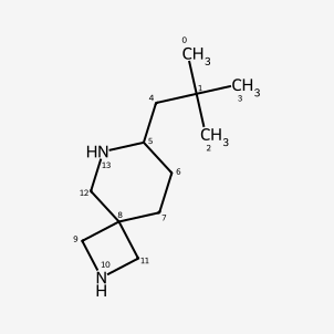 CC(C)(C)CC1CCC2(CNC2)CN1